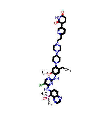 CCc1cc(Nc2ncc(Br)c(Nc3ccc4nccnc4c3P(C)(C)=O)n2)c(OC)cc1N1CCC(N2CCN(CCc3ccc(C4CCC(=O)NC4=O)cn3)CC2)CC1